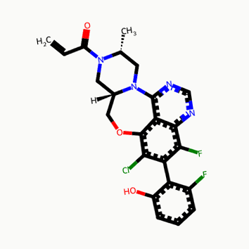 C=CC(=O)N1C[C@H]2COc3c(Cl)c(-c4c(O)cccc4F)c(F)c4ncnc(c34)N2C[C@H]1C